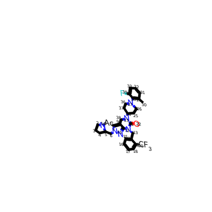 CC(=O)N1CCCC1Cn1cc2c(n1)N(Cc1ccccc1C(F)(F)F)C(=O)N(C1CCN(c3c(C)cccc3F)CC1)C2